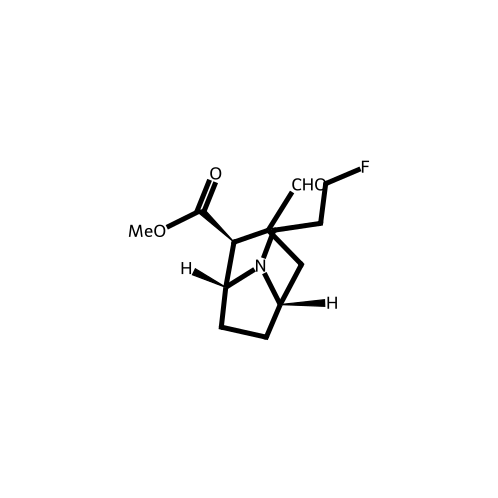 COC(=O)[C@H]1C(C=O)C[C@@H]2CC[C@H]1N2CCCF